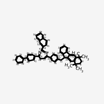 CC1(C)CCC(C)(C)c2cc3c(cc21)-c1ccccc1C3Cc1ccc(C2=CCC(c3ccc(-c4ccccc4)cc3)=NC(c3ccc4ccccc4c3)=N2)cc1